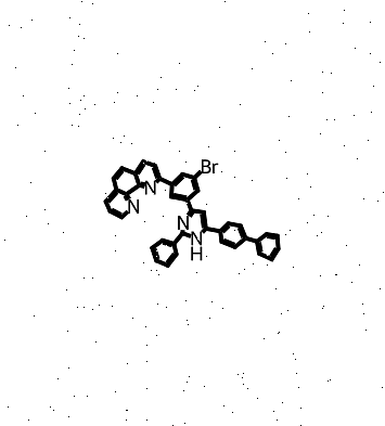 Brc1cc(C2=NC(c3ccccc3)NC(c3ccc(-c4ccccc4)cc3)=C2)cc(-c2ccc3ccc4cccnc4c3n2)c1